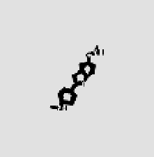 CNOc1cc[c]2c(c1)C[C](c1ccc(NC)cc1)=[Y]2